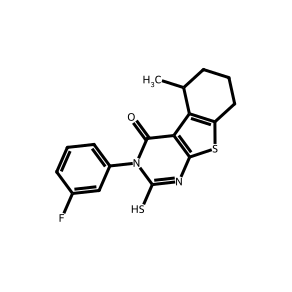 CC1CCCc2sc3nc(S)n(-c4cccc(F)c4)c(=O)c3c21